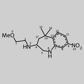 COCCNC1CNc2cc([N+](=O)[O-])ccc2C(C)(C)C1